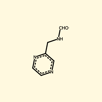 O=[C]NCc1cnccn1